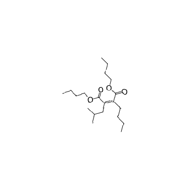 CCCCOC(=O)C(CCCC)=C(CC(C)C)C(=O)OCCCC